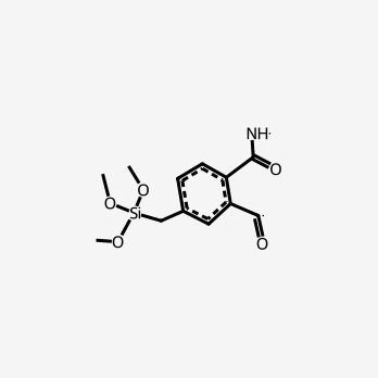 CO[Si](Cc1ccc(C([NH])=O)c([C]=O)c1)(OC)OC